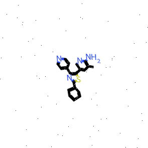 Cc1cc(-c2sc(-c3ccccc3)nc2-c2ccncc2)cnc1N